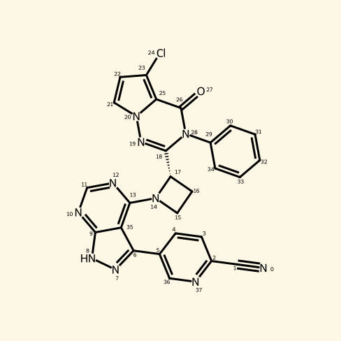 N#Cc1ccc(-c2n[nH]c3ncnc(N4CC[C@H]4c4nn5ccc(Cl)c5c(=O)n4-c4ccccc4)c23)cn1